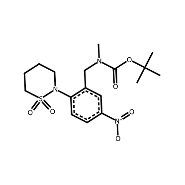 CN(Cc1cc([N+](=O)[O-])ccc1N1CCCCS1(=O)=O)C(=O)OC(C)(C)C